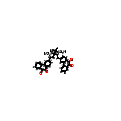 CCC(C)(C(=O)O)C(CCc1ccc2c(c1)-c1ccccc1C(=O)C2=O)(CCc1ccc2c(c1)-c1ccccc1C(=O)C2=O)C(=O)O